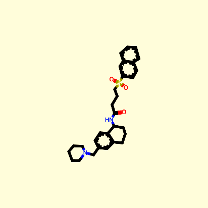 O=C(CCCS(=O)(=O)c1ccc2ccccc2c1)NC1CCCc2cc(CN3CCCCC3)ccc21